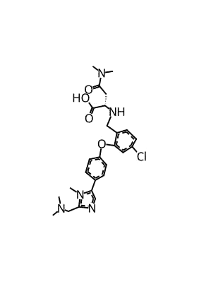 CN(C)Cc1ncc(-c2ccc(Oc3cc(Cl)ccc3CN[C@@H](CC(=O)N(C)C)C(=O)O)cc2)n1C